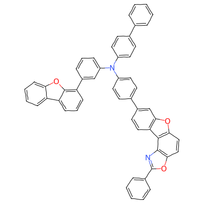 c1ccc(-c2ccc(N(c3ccc(-c4ccc5c(c4)oc4ccc6oc(-c7ccccc7)nc6c45)cc3)c3cccc(-c4cccc5c4oc4ccccc45)c3)cc2)cc1